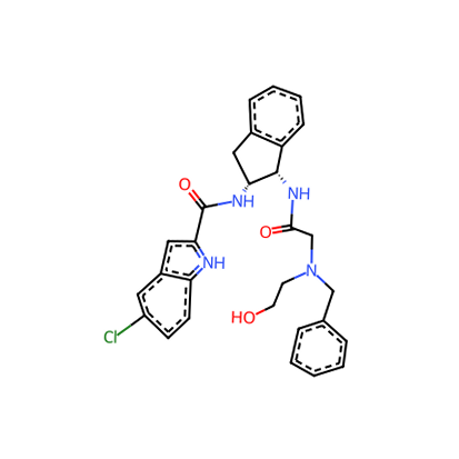 O=C(CN(CCO)Cc1ccccc1)N[C@H]1c2ccccc2C[C@H]1NC(=O)c1cc2cc(Cl)ccc2[nH]1